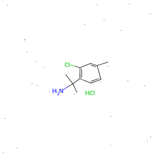 Cc1ccc(C(C)(C)N)c(Cl)c1.Cl